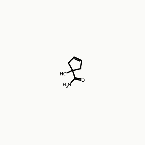 NC(=O)C1(O)CC=CC1